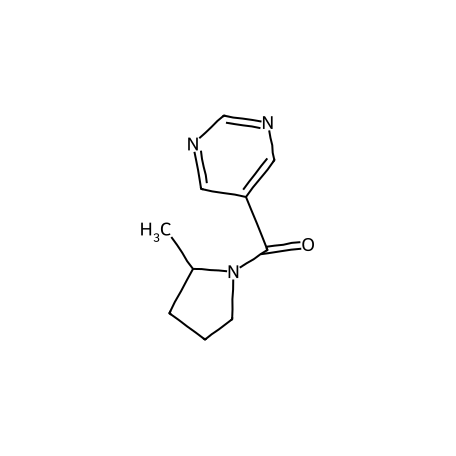 CC1CCCN1C(=O)c1cncnc1